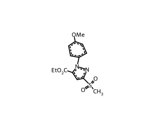 CCOC(=O)c1cc(S(C)(=O)=O)nn1-c1ccc(OC)cc1